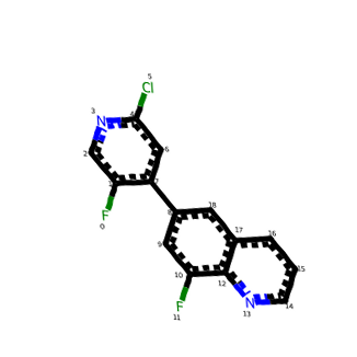 Fc1cnc(Cl)cc1-c1cc(F)c2ncccc2c1